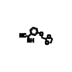 N#CC(=N)c1cccc(OCC2OCCO2)c1